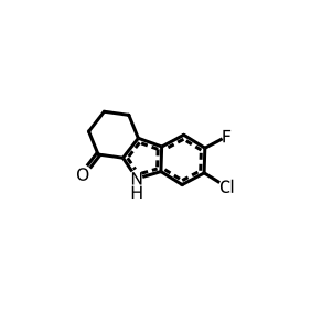 O=C1CCCc2c1[nH]c1cc(Cl)c(F)cc21